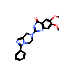 COc1cc2[nH]c(N3CCn4c(cnc4-c4ccccc4)C3)nc(=O)c2cc1OC